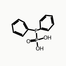 O=P(O)(O)P(c1ccccc1)c1ccccc1